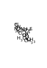 CC(C)(C)OC(=O)N1CC(F)CC1CNc1nc(Cl)ncc1Cl